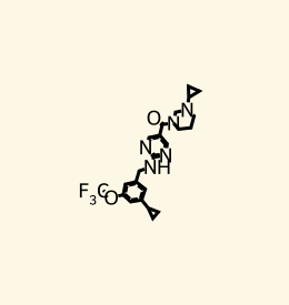 O=C(c1cnc(NCc2cc(OC(F)(F)F)cc(C3CC3)c2)nc1)N1CCCN(C2CC2)C1